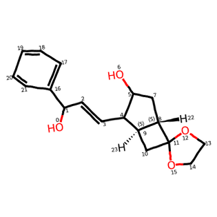 OC(C=CC1C(O)C[C@H]2[C@H]1CC21OCCO1)c1ccccc1